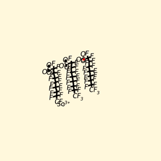 O=S(=O)([O-])C(F)(F)C(F)(F)C(F)(F)C(F)(F)C(F)(F)C(F)(F)C(F)(F)C(F)(F)F.O=S(=O)([O-])C(F)(F)C(F)(F)C(F)(F)C(F)(F)C(F)(F)C(F)(F)C(F)(F)C(F)(F)F.O=S(=O)([O-])C(F)(F)C(F)(F)C(F)(F)C(F)(F)C(F)(F)C(F)(F)C(F)(F)C(F)(F)F.[Sc+3]